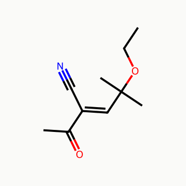 CCOC(C)(C)/C=C(\C#N)C(C)=O